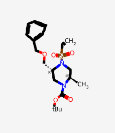 C=CS(=O)(=O)N1C[C@@H](C)N(C(=O)OC(C)(C)C)C[C@@H]1COCc1ccccc1